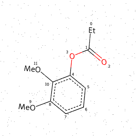 CCC(=O)Oc1cc[c]c(OC)c1OC